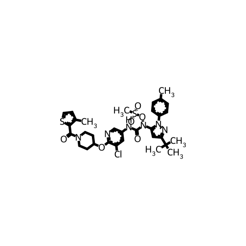 Cc1ccc(-n2nc(C(C)(C)C)cc2N(OS(C)(=O)=O)C(=O)Nc2cnc(OC3CCN(C(=O)c4sccc4C)CC3)c(Cl)c2)cc1